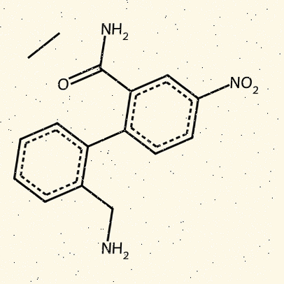 CC.NCc1ccccc1-c1ccc([N+](=O)[O-])cc1C(N)=O